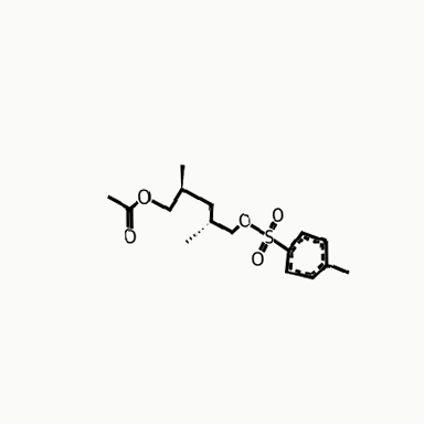 CC(=O)OC[C@@H](C)C[C@@H](C)COS(=O)(=O)c1ccc(C)cc1